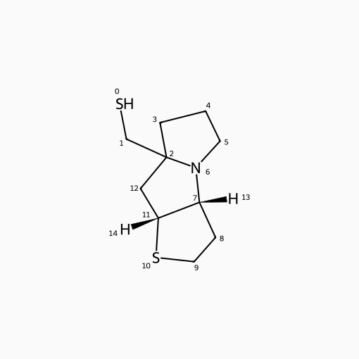 SCC12CCCN1[C@@H]1CCS[C@@H]1C2